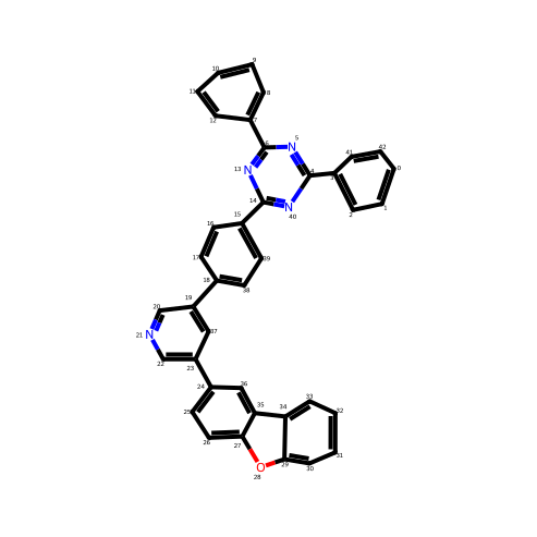 c1ccc(-c2nc(-c3ccccc3)nc(-c3ccc(-c4cncc(-c5ccc6oc7ccccc7c6c5)c4)cc3)n2)cc1